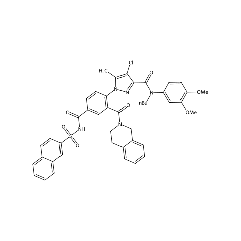 CCCCN(C(=O)c1nn(-c2ccc(C(=O)NS(=O)(=O)c3ccc4ccccc4c3)cc2C(=O)N2CCc3ccccc3C2)c(C)c1Cl)c1ccc(OC)c(OC)c1